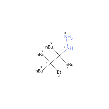 CCCCC(CC)(CCCC)C(CCCC)(CCCC)NN